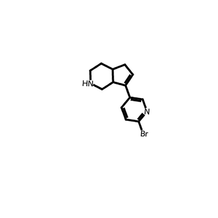 Brc1ccc(C2=CCC3CCNCC23)cn1